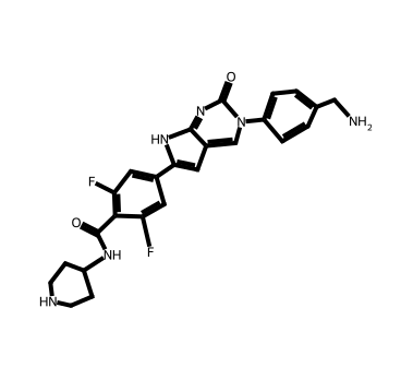 NCc1ccc(-n2cc3cc(-c4cc(F)c(C(=O)NC5CCNCC5)c(F)c4)[nH]c3nc2=O)cc1